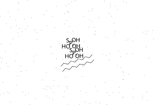 CCCCCCCCCC.CCCCCCCCCC.OP(O)(O)=S.OP(O)(O)=S